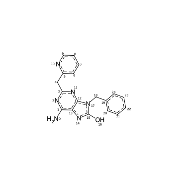 Nc1nc(Cc2ccccn2)nc2c1nc(O)n2Cc1ccccc1